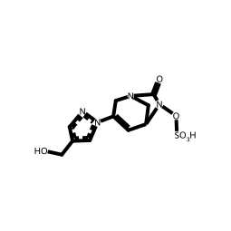 O=C1N2CC(n3cc(CO)cn3)=CC(C2)N1OS(=O)(=O)O